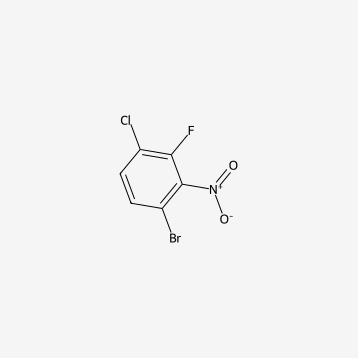 O=[N+]([O-])c1c(Br)ccc(Cl)c1F